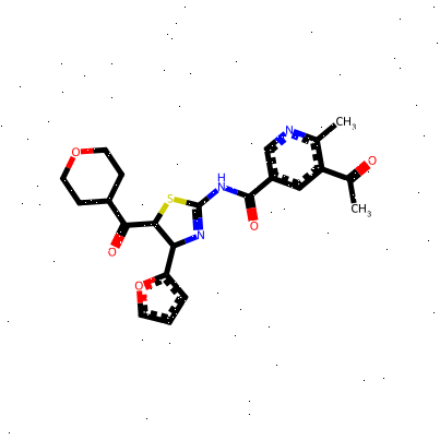 CC(=O)c1cc(C(=O)NC2=NC(c3ccco3)C(C(=O)C3CCOCC3)S2)cnc1C